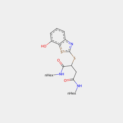 CCCCCCNC(=O)CC(Sc1nc2cccc(O)c2s1)C(=O)NCCCCCC